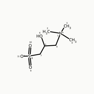 C[N+](C)(C)CC(O)CS(=O)(=O)[O-]